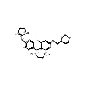 Fc1cc(OCC2CCOCC2)ccc1Cc1ccc(NC2=NCCN2)cc1.O=C(O)/C=C\C(=O)O